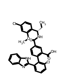 CC[C@H](NC(=O)c1ccc(-c2c(Cl)cccc2-c2nc3ccccc3[nH]2)c(C(=O)O)c1)c1ccc(Cl)cc1OC